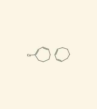 C1=CCCCCC=C1.[Co][C]1=CC=CCCCC1